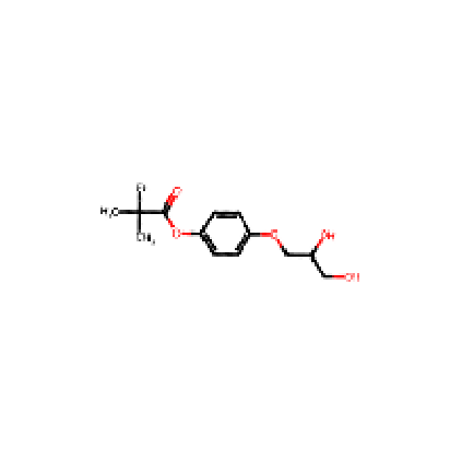 CCC(C)(C)C(=O)Oc1ccc(OCC(O)CO)cc1